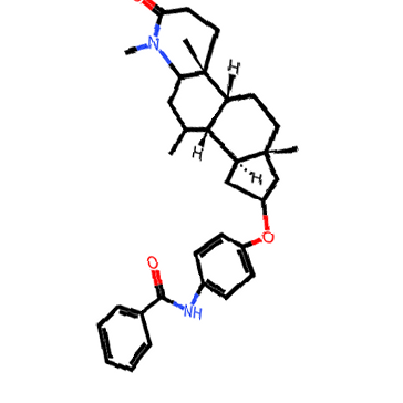 CC1CC2N(C)C(=O)CC[C@]2(C)[C@@H]2CC[C@]3(C)CC(Oc4ccc(NC(=O)c5ccccc5)cc4)C[C@H]3[C@H]12